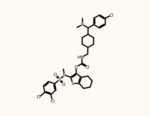 CN(C)C(c1ccc(Cl)cc1)C1CCC(CNC(=O)Oc2c(N(C)S(=O)(=O)c3ccc(Cl)c(Cl)c3)sc3c2CCCC3)CC1